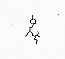 CCCN(CCN1CCNCC1)CCN(CCC)C(C)=O